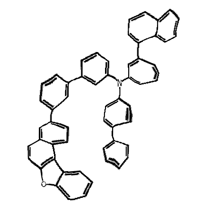 c1ccc(-c2ccc(N(c3cccc(-c4cccc(-c5ccc6c(ccc7oc8ccccc8c76)c5)c4)c3)c3cccc(-c4cccc5ccccc45)c3)cc2)cc1